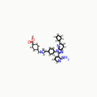 COC(=O)C1CCC(CN2CC(c3ccc(-n4c(-c5cccnc5N)nc5ccc(-c6ccccc6)nc54)cc3)C2)CC1